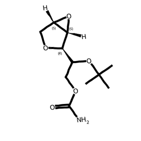 CC(C)(C)OC(COC(N)=O)[C@H]1OC[C@@H]2O[C@@H]21